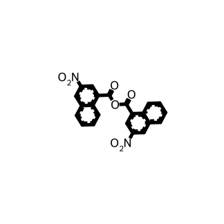 O=C(OC(=O)c1cc([N+](=O)[O-])cc2ccccc12)c1cc([N+](=O)[O-])cc2ccccc12